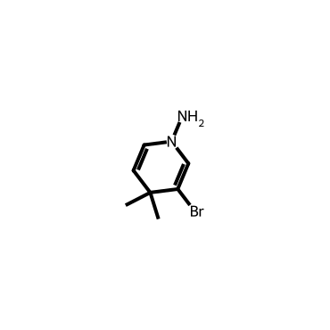 CC1(C)C=CN(N)C=C1Br